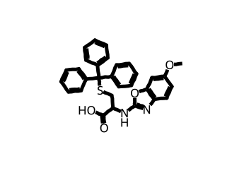 COc1ccc2nc(NC(CSC(c3ccccc3)(c3ccccc3)c3ccccc3)C(=O)O)oc2c1